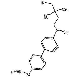 CCCCCCCOc1ccc(-c2ccc([C@H](CC)CCC(C#N)(C#N)CC(C)CC)cc2)cc1